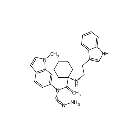 C=C(N(/N=N\N)c1ccc2ccn(C)c2c1)C1(NCCc2c[nH]c3ccccc23)CCCCC1